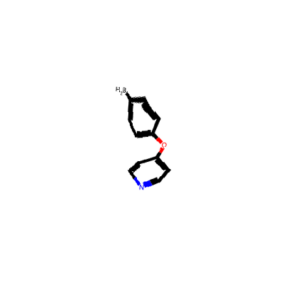 Bc1ccc(Oc2ccncc2)cc1